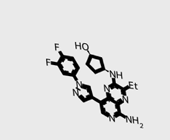 CCc1nc2c(N)ncc(-c3cnn(-c4ccc(F)c(F)c4)c3)c2nc1N[C@@H]1CC[C@H](O)C1